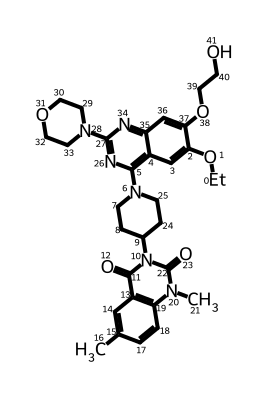 CCOc1cc2c(N3CCC(n4c(=O)c5cc(C)ccc5n(C)c4=O)CC3)nc(N3CCOCC3)nc2cc1OCCO